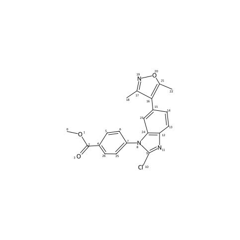 COC(=O)c1ccc(-n2c(Cl)nc3ccc(-c4c(C)noc4C)cc32)cc1